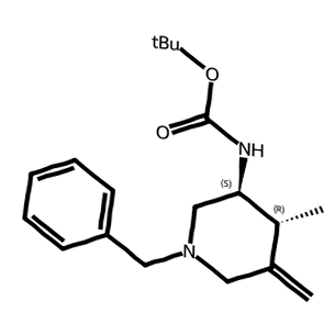 C=C1CN(Cc2ccccc2)C[C@@H](NC(=O)OC(C)(C)C)[C@@H]1C